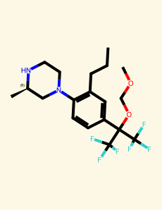 CCCc1cc(C(OCOC)(C(F)(F)F)C(F)(F)F)ccc1N1CCN[C@H](C)C1